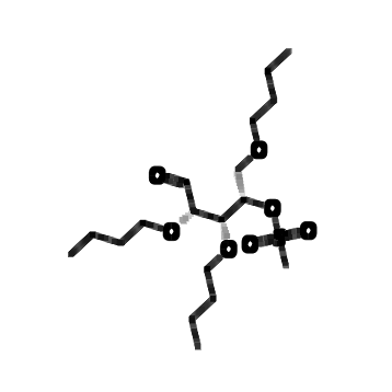 CCCCOC[C@H](OS(C)(=O)=O)[C@H](OCCCC)[C@@H](C=O)OCCCC